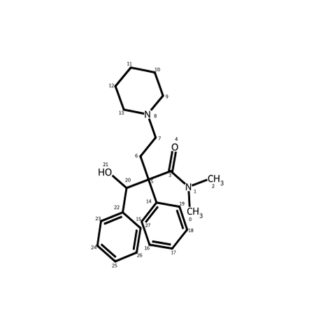 CN(C)C(=O)C(CCN1CCCCC1)(c1ccccc1)C(O)c1ccccc1